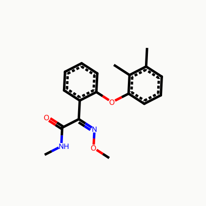 CNC(=O)/C(=N\OC)c1ccccc1Oc1cccc(C)c1C